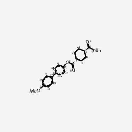 CCCCC(=O)[C@H]1CC[C@H](C(=O)Oc2cnc(-c3ccc(OC)cc3)nc2)CC1